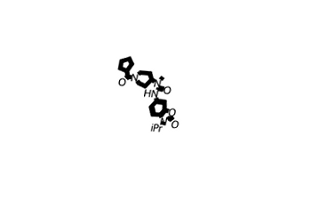 CC(C)n1c(=O)oc2cc(NC(=O)N(C)C3CCN(C(=O)C4CCCC4)CC3)ccc21